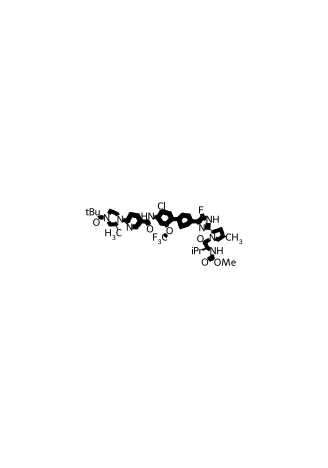 COC(=O)N[C@H](C(=O)N1C[C@@H](C)C[C@H]1c1nc(-c2ccc(-c3cc(Cl)c(NC(=O)c4ccc(N5CCN(C(=O)C(C)(C)C)C[C@H]5C)nc4)cc3OC(F)(F)F)cc2)c(F)[nH]1)C(C)C